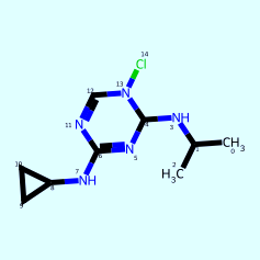 CC(C)NC1N=C(NC2CC2)N=CN1Cl